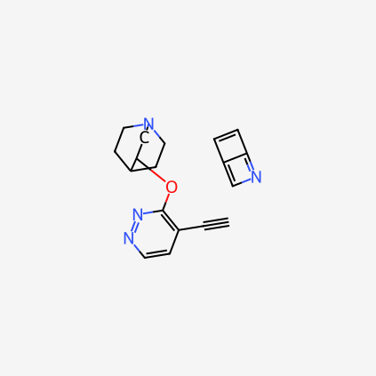 C#Cc1ccnnc1OC1CN2CCC1CC2.c1cc2ncc1-2